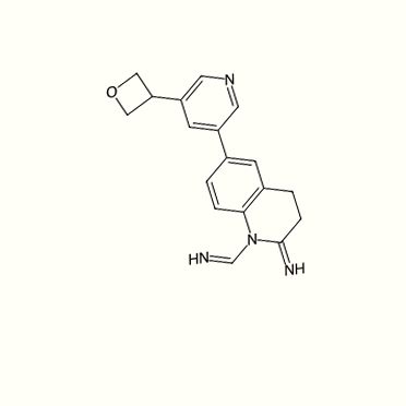 N=CN1C(=N)CCc2cc(-c3cncc(C4COC4)c3)ccc21